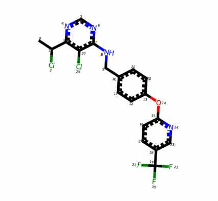 CC(Cl)c1ncnc(NCc2ccc(Oc3ccc(C(F)(F)F)cn3)cc2)c1Cl